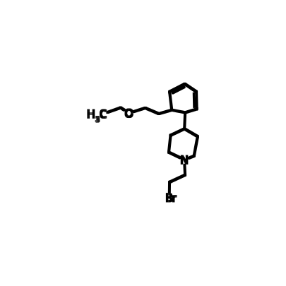 CCOCCC1C=CC=CC1C1CCN(CCBr)CC1